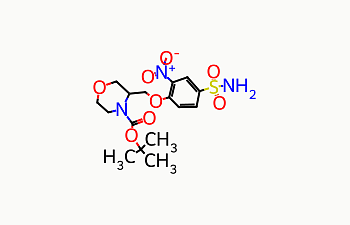 CC(C)(C)OC(=O)N1CCOCC1COc1ccc(S(N)(=O)=O)cc1[N+](=O)[O-]